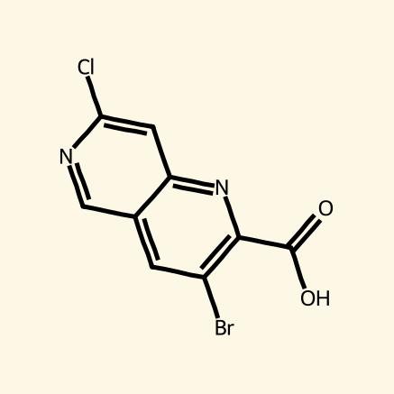 O=C(O)c1nc2cc(Cl)ncc2cc1Br